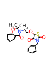 CC1(C)Oc2ccccc2C(=O)N1CCOC1SC(=O)N(Cc2ccccc2)C1=O